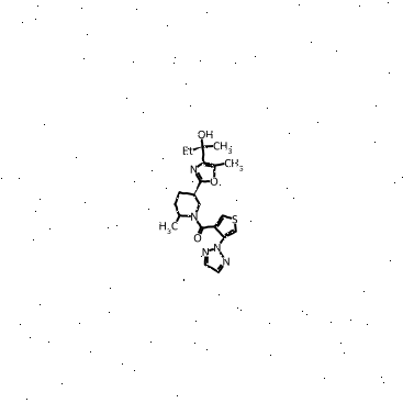 CC[C@](C)(O)c1nc([C@@H]2CCC(C)N(C(=O)c3cscc3-n3nccn3)C2)oc1C